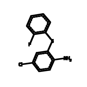 Nc1ccc(Cl)cc1Sc1ccccc1F